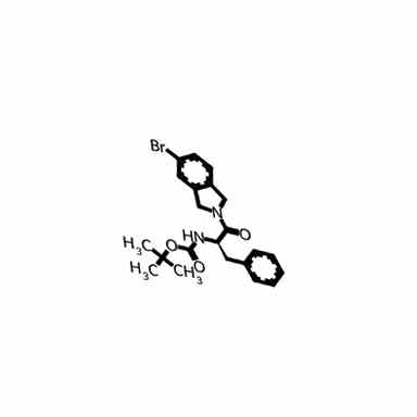 CC(C)(C)OC(=O)N[C@H](Cc1ccccc1)C(=O)N1Cc2ccc(Br)cc2C1